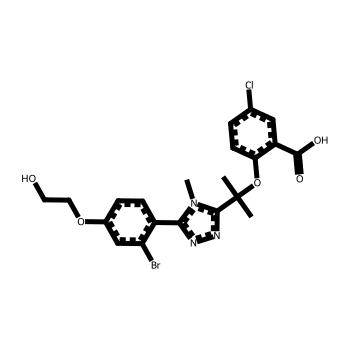 Cn1c(-c2ccc(OCCO)cc2Br)nnc1C(C)(C)Oc1ccc(Cl)cc1C(=O)O